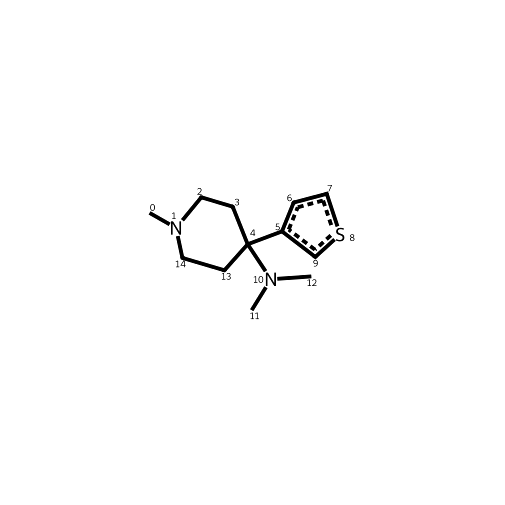 CN1CCC(c2ccsc2)(N(C)C)CC1